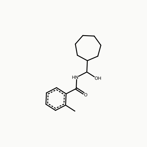 Cc1ccccc1C(=O)NC(O)C1CCCCCC1